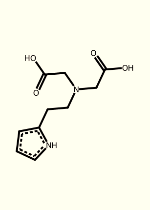 O=C(O)CN(CCc1ccc[nH]1)CC(=O)O